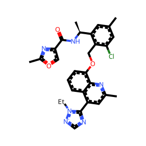 CCn1ncnc1-c1cc(C)nc2c(OCc3c(Cl)cc(C)cc3[C@H](C)NC(=O)c3coc(C)n3)cccc12